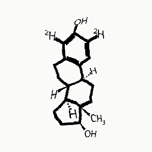 [2H]c1cc2c(c([2H])c1O)CC[C@@H]1[C@@H]2CC[C@]2(C)[C@@H](O)CC[C@@H]12